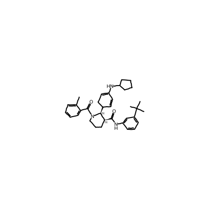 Cc1ccccc1C(=O)N1CCC[C@H](C(=O)Nc2cccc(C(C)(C)C)c2)[C@@H]1C1C=CC(NC2CCCC2)=CC1